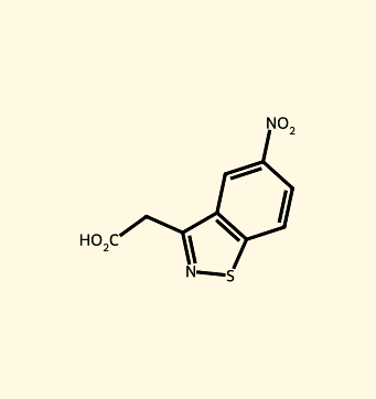 O=C(O)Cc1nsc2ccc([N+](=O)[O-])cc12